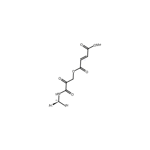 COC(=O)/C=C/C(=O)OCC(=O)C(=O)N[C@H](C(C)=O)C(C)C